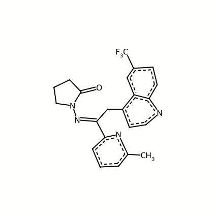 Cc1cccc(/C(Cc2ccnc3ccc(C(F)(F)F)cc23)=N/N2CCCC2=O)n1